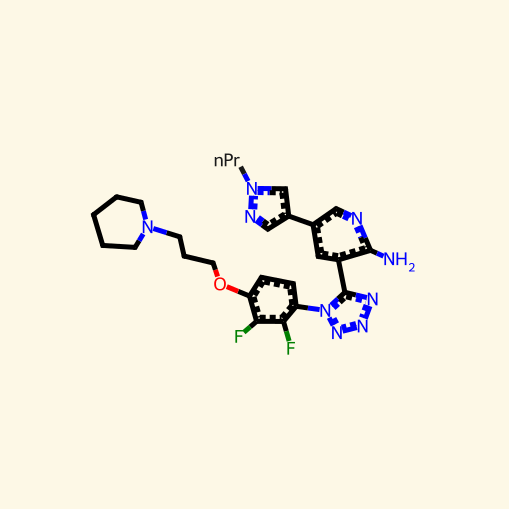 CCCn1cc(-c2cnc(N)c(-c3nnnn3-c3ccc(OCCCN4CCCCC4)c(F)c3F)c2)cn1